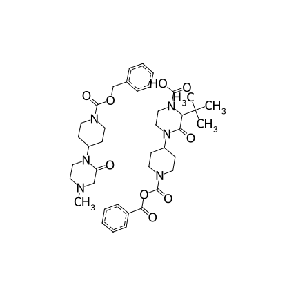 CC(C)(C)C1C(=O)N(C2CCN(C(=O)OC(=O)c3ccccc3)CC2)CCN1C(=O)O.CN1CCN(C2CCN(C(=O)OCc3ccccc3)CC2)C(=O)C1